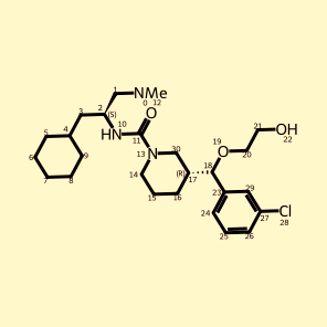 CNC[C@H](CC1CCCCC1)NC(=O)N1CCC[C@@H](C(OCCO)c2cccc(Cl)c2)C1